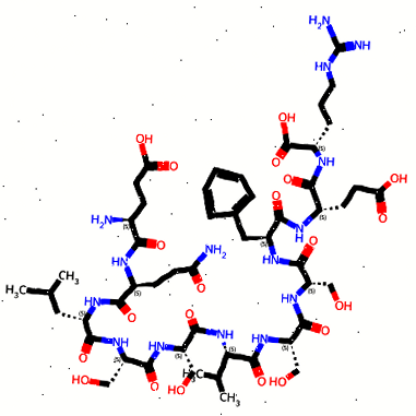 CC(C)C[C@H](NC(=O)[C@H](CCC(N)=O)NC(=O)[C@@H](N)CCC(=O)O)C(=O)N[C@@H](CO)C(=O)N[C@@H](CO)C(=O)N[C@H](C(=O)N[C@@H](CO)C(=O)N[C@@H](CO)C(=O)N[C@@H](Cc1ccccc1)C(=O)N[C@@H](CCC(=O)O)C(=O)N[C@@H](CCCNC(=N)N)C(=O)O)C(C)C